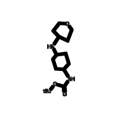 CC(C)(C)OC(=O)NC1CCC(NC2CCOCC2)CC1